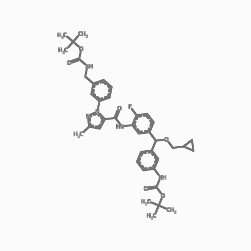 Cc1cc(C(=O)Nc2cc(C(OCC3CC3)c3cccc(NC(=O)OC(C)(C)C)c3)ccc2F)n(-c2cccc(CNC(=O)OC(C)(C)C)c2)n1